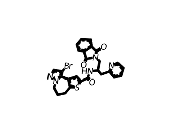 O=C(NC(Cc1ccccn1)CN1C(=O)c2ccccc2C1=O)c1cc2c(s1)CCCn1ncc(Br)c1-2